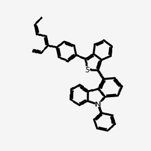 C=C/C(=C\C=C/C)c1ccc(-c2sc(-c3cccc4c3c3ccccc3n4-c3ccccc3)c3ccccc23)cc1